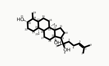 CC(C)=CCC[C@](C)(O)C1CCC2[C@]3(C)CCC4C(C)[C@@H](O)CC[C@]4(C)C3CC[C@@]21O